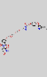 O=C(COc1ccc(Oc2cncc(C(F)(F)F)c2)cc1)NCCCOCCOCCOCCOc1ccc2c(c1)C(=O)N(C1CCC(=O)NC1=O)C2=O